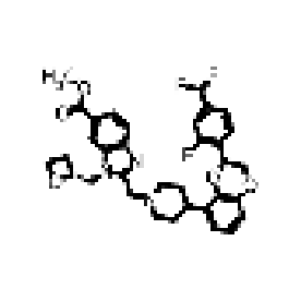 COC(=O)c1ccc2nc(CN3CCC(c4cccc5c4OC(c4ccc(C(F)F)cc4F)CO5)CC3)n(C[C@@H]3CCO3)c2c1